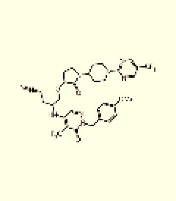 COc1ccc(Cn2ncc(NC(CN=[N+]=[N-])COC3CCN(C4CCN(c5ncc(C(F)(F)F)cn5)CC4)C3=O)c(C(F)(F)F)c2=O)cc1